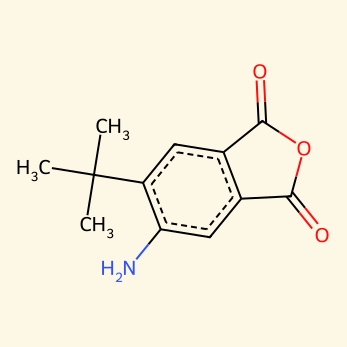 CC(C)(C)c1cc2c(cc1N)C(=O)OC2=O